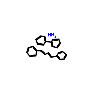 C(/C=C/c1ccccc1)=C\c1ccccc1.N.c1ccc(-c2ccccc2)cc1